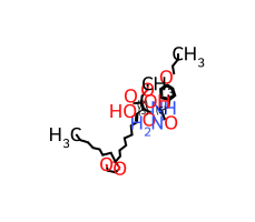 CCCCCCCC1(CCCCCCC=C[C@H](C(=O)N[C@@H](Cc2ccc(OCCCC)cc2)C(N)=O)[C@@](O)(COC)C(=O)O)OCCO1